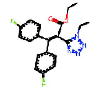 CCOC(=O)C(=C(c1ccc(F)cc1)c1ccc(F)cc1)c1nnnn1CC